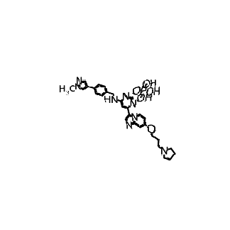 Cn1cc(-c2ccc(CNc3cc(-c4cnc5cc(OCCCN6CCCC6)ccn45)ncn3)cc2)cn1.O=P(O)(O)O